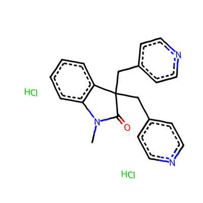 CN1C(=O)C(Cc2ccncc2)(Cc2ccncc2)c2ccccc21.Cl.Cl